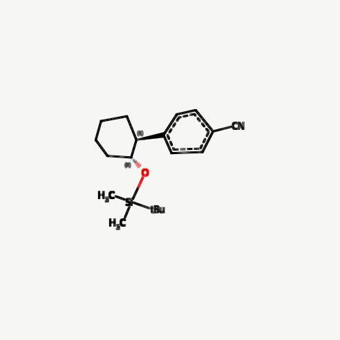 CC(C)(C)[Si](C)(C)O[C@@H]1CCCC[C@H]1c1ccc(C#N)cc1